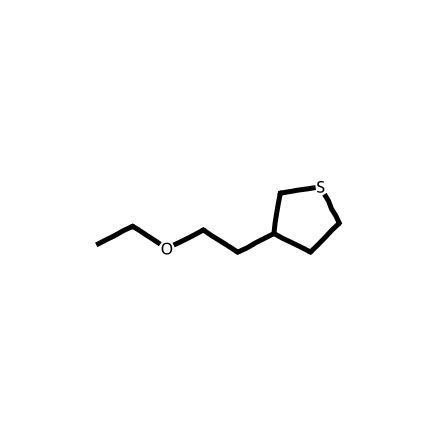 CCOCCC1CCSC1